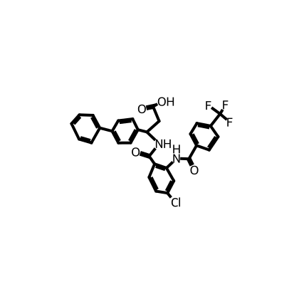 O=C(O)CC(NC(=O)c1ccc(Cl)cc1NC(=O)c1ccc(C(F)(F)F)cc1)c1ccc(-c2ccccc2)cc1